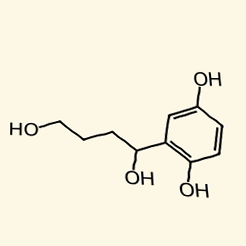 OCCCC(O)c1cc(O)ccc1O